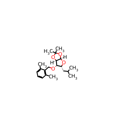 Cc1cccc(C)c1CO[C@@H]1[C@H]2OC(C)(C)O[C@H]2O[C@@H]1CC(C)C